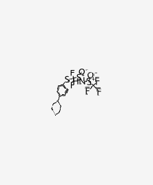 [O-][S+](N[S+]([O-])C(F)(F)Sc1ccc(C2CCCCC2)cc1)C(F)(F)F